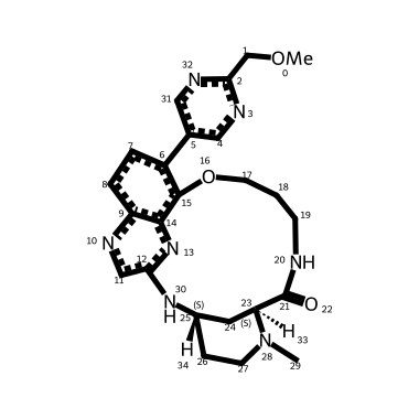 COCc1ncc(-c2ccc3ncc4nc3c2OCCCNC(=O)[C@@H]2C[C@H](CCN2C)N4)cn1